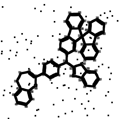 C1=C(c2ccc(N(c3ccc4c(c3)C3(c5ccccc5-c5ccccc53)c3ccccc3-4)c3nc4ccccc4s3)cc2)Oc2ccccc2CC1